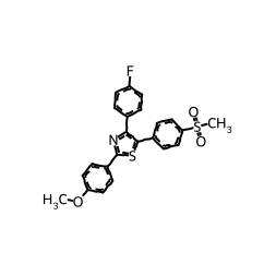 COc1ccc(-c2nc(-c3ccc(F)cc3)c(-c3ccc(S(C)(=O)=O)cc3)s2)cc1